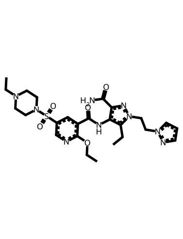 CCOc1ncc(S(=O)(=O)N2CCN(CC)CC2)cc1C(=O)Nc1c(C(N)=O)nn(CCn2cccn2)c1CC